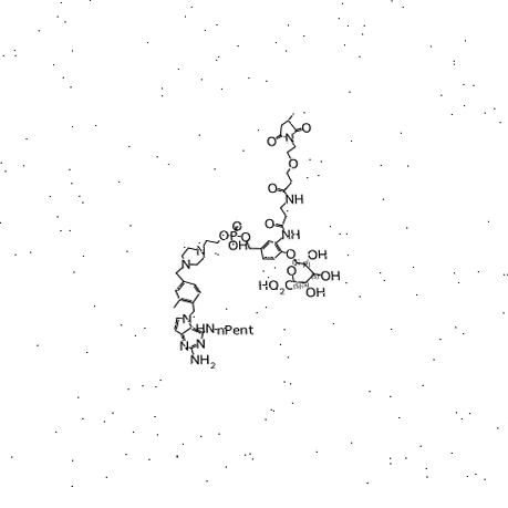 CCCCCNc1nc(N)nc2ccn(Cc3ccc(CN4CCN(CCOP(=O)(O)OCc5ccc(O[C@@H]6O[C@H](C(=O)O)[C@@H](O)[C@H](O)[C@H]6O)c(NC(=O)CCNC(=O)CCOCCN6C(=O)CC(C)C6=O)c5)CC4)cc3C)c12